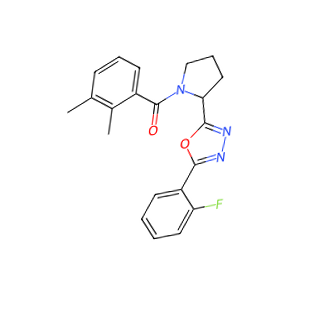 Cc1cccc(C(=O)N2CCCC2c2nnc(-c3ccccc3F)o2)c1C